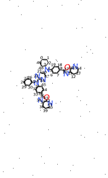 C1=CCC(N(c2ccc(-c3nc4cccnc4o3)cc2)c2cnc(N(c3ccccc3)c3ccc(-c4nc5cccnc5o4)cc3)nc2)C=C1